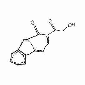 O=C(CO)C1=CC=C2C(=Cc3ccccc32)C1=O